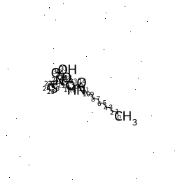 CCCCCCCCCCCCNC(=O)c1ccc(CN(Cc2cccs2)C(=O)C(=O)O)cc1